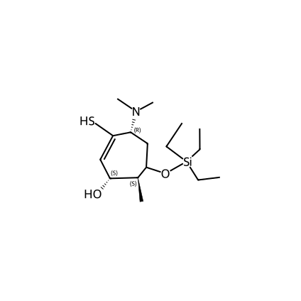 CC[Si](CC)(CC)OC1C[C@@H](N(C)C)C(S)=C[C@@H](O)[C@@H]1C